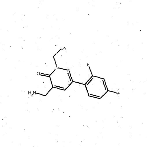 CC(C)Cn1nc(-c2ccc(F)cc2F)cc(CN)c1=O